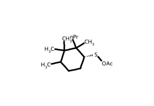 CCCC1(C)[C@H](SOC(C)=O)CCC(C)C1(C)C